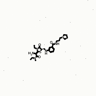 CCN(C)C(=O)/C(N)=C1\S[C@H](CNc2cccc(C(=O)NCCCN3CCCC3)c2)C(=O)N1CC